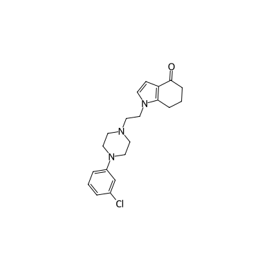 O=C1CCCc2c1ccn2CCN1CCN(c2cccc(Cl)c2)CC1